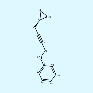 C(#CC[C@H]1CO1)COc1ccccc1